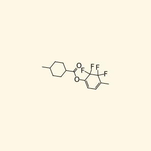 CC1=CC=C(OC(=O)C2CCC(C)CC2)C(F)(F)C1(F)F